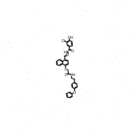 O=C(COc1ccc(/C=N/NC(=O)c2ccc(O)c(Cl)c2)c2ccccc12)NCCc1ccc(Oc2ccccc2)cc1